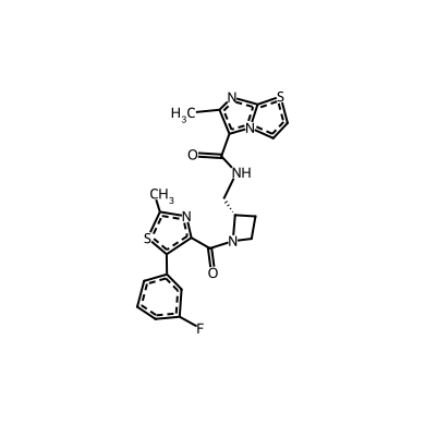 Cc1nc(C(=O)N2CC[C@H]2CNC(=O)c2c(C)nc3sccn23)c(-c2cccc(F)c2)s1